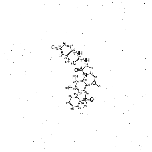 COC[C@@H]1C[C@@H](NC(=O)Nc2ccc(Cl)cc2F)C(=O)N1c1ccc(-c2ccccc2P(C)(C)=O)c(F)c1F